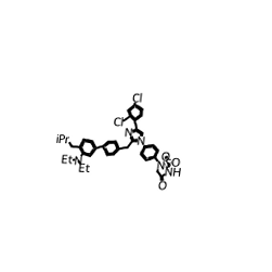 CCN(CC)c1cc(-c2ccc(Cc3nc(-c4ccc(Cl)cc4Cl)cn3-c3ccc(N4CC(=O)NS4(=O)=O)cc3)cc2)ccc1CC(C)C